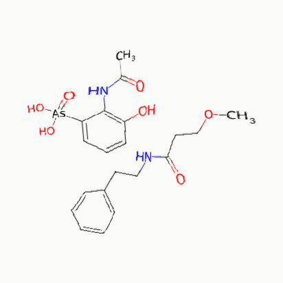 CC(=O)Nc1c(O)cccc1[As](=O)(O)O.COCCC(=O)NCCc1ccccc1